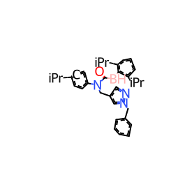 CC(C)c1ccc(N(Cc2cnn(Cc3ccccc3)c2)C(=O)Bc2c(C(C)C)cccc2C(C)C)cc1